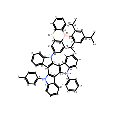 Cc1ccc(-n2c3ccccc3c3c2c2c4ccccc4n(-c4ccc5c(c4)Sc4ccccc4B5c4c(C(C)C)cc(C(C)C)cc4C(C)C)c2c2c4ccccc4n(-c4ccccc4)c32)cc1